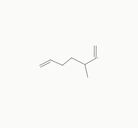 C=[C]C(C)CCC=C